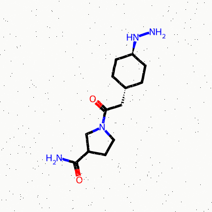 NN[C@H]1CC[C@H](CC(=O)N2CCC(C(N)=O)C2)CC1